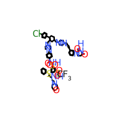 C[C@@]1(CN2CCN(CC#Cc3cccc(N4CCC(=O)NC4=O)c3)CC2)CCC(c2ccc(Cl)cc2)=C(CN2CCN(c3ccc(C(=O)NS(=O)(=O)c4ccc(N[C@H](CCN5CCCOCC5)CSc5ccccc5)c(S(=O)(=O)C(F)(F)F)c4)cc3)CC2)C1